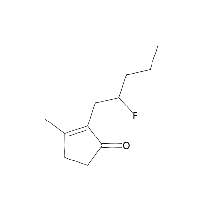 CCCC(F)CC1=C(C)CCC1=O